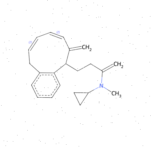 C=C1/C=C\C=C/Cc2ccccc2C1CCC(=C)N(C)C1CC1